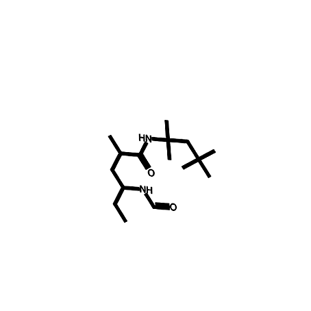 CCC(CC(C)C(=O)NC(C)(C)CC(C)(C)C)NC=O